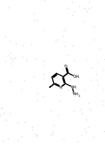 Cc1ccc(C(=O)O)c(NN)n1